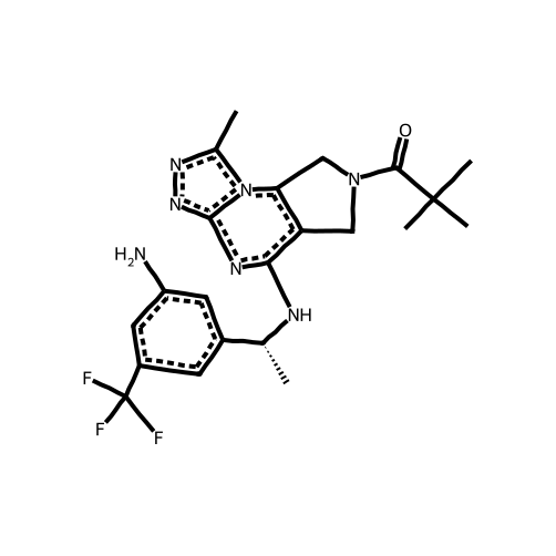 Cc1nnc2nc(N[C@H](C)c3cc(N)cc(C(F)(F)F)c3)c3c(n12)CN(C(=O)C(C)(C)C)C3